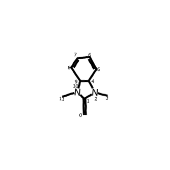 C=C1N(C)C2C=CC=CC2N1C